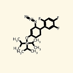 CC(C)[Si](OC1=CC(N=[N+]=[N-])C(c2cc(F)c(F)cc2F)CC1)(C(C)C)C(C)C